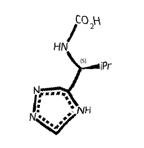 CC(C)[C@H](NC(=O)O)c1nnc[nH]1